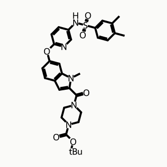 Cc1ccc(S(=O)(=O)Nc2ccc(Oc3ccc4cc(C(=O)N5CCN(C(=O)OC(C)(C)C)CC5)n(C)c4c3)nc2)cc1C